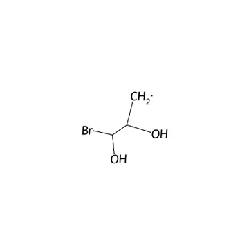 [CH2]C(O)C(O)Br